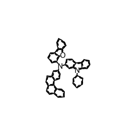 c1ccc(-n2c3ccccc3c3ccc(N(c4ccc5c(ccc6ccc7ccccc7c65)c4)c4cccc5c4oc4ccccc45)cc32)cc1